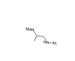 CCNC[C](C)NC